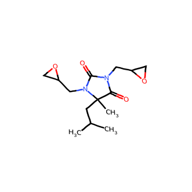 CC(C)CC1(C)C(=O)N(CC2CO2)C(=O)N1CC1CO1